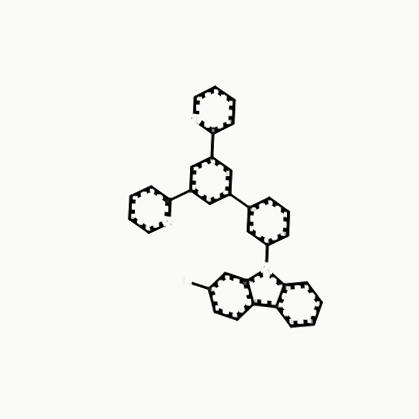 Bc1ccc2c3ccccc3n(-c3cccc(-c4cc(-c5ccccn5)cc(-c5ccccn5)c4)c3)c2c1